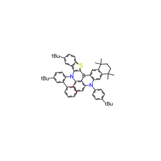 Cc1cc2c3c(c1)N(c1ccc(C(C)(C)C)cc1-c1ccccc1)c1c(sc4ccc(C(C)(C)C)cc14)B3c1cc3c(cc1N2c1ccc(C(C)(C)C)cc1)C(C)(C)CCC3(C)C